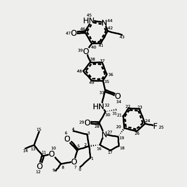 CCC(CC)(C(=O)OC(C)OC(=O)C(C)C)[C@H]1CC[C@@H](c2cccc(F)c2)N1C(=O)[C@@H](C)NC(=O)c1ccc(Oc2cc(C)n[nH]c2=O)cc1